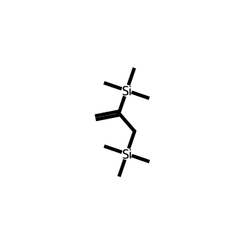 C=C(C[Si](C)(C)C)[Si](C)(C)C